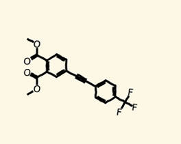 COC(=O)c1ccc(C#Cc2ccc(C(F)(F)F)cc2)cc1C(=O)OC